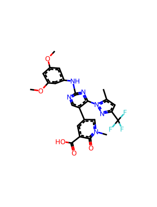 COc1cc(Nc2ncc(-c3cc(C(=O)O)c(=O)n(C)c3)c(-n3nc(C(F)(F)F)cc3C)n2)cc(OC)c1